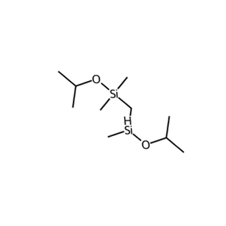 CC(C)O[SiH](C)C[Si](C)(C)OC(C)C